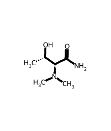 C[C@H](O)[C@@H](C(N)=O)N(C)C